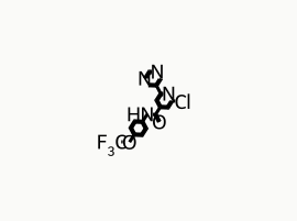 O=C(Nc1ccc(OC(F)(F)F)cc1)c1cc(Cl)nc(-c2cncnc2)c1